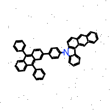 c1ccc(-c2c3ccccc3c(-c3ccccc3)c3cc(-c4ccc(-n5c6ccccc6c6c7cc8ccccc8cc7ccc65)cc4)ccc23)cc1